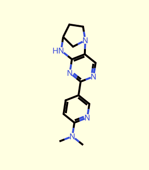 CN(C)c1ccc(-c2ncc3c(n2)NC2CCN3C2)cn1